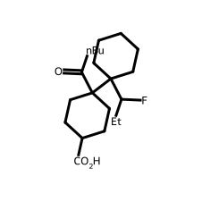 CCCCC(=O)C1(C2(C(F)CC)CCCCC2)CCC(C(=O)O)CC1